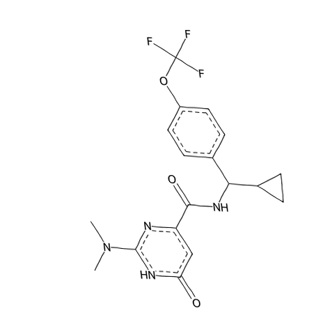 CN(C)c1nc(C(=O)NC(c2ccc(OC(F)(F)F)cc2)C2CC2)cc(=O)[nH]1